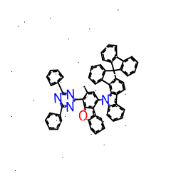 Cc1cc(-n2c3ccccc3c3ccc4c(c32)-c2ccccc2C42c3ccccc3-c3ccccc32)c2c(oc3ccccc32)c1-c1nc(-c2ccccc2)nc(-c2ccccc2)n1